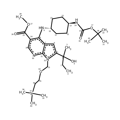 CCC(C)(O)c1cc2c(N[C@H]3CC[C@H](NC(=O)OC(C)(C)C)CC3)c(C(=O)OC)cnc2n1COCC[Si](C)(C)C